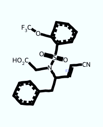 N#C/C=C/C(Cc1ccccc1)N(CC(=O)O)S(=O)(=O)c1ccccc1OC(F)(F)F